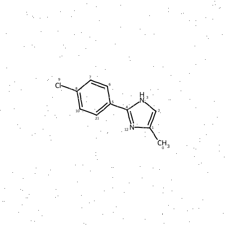 Cc1c[nH]c(-c2ccc(Cl)cc2)n1